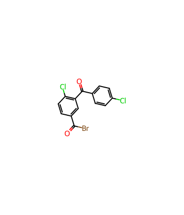 O=C(Br)c1ccc(Cl)c(C(=O)c2ccc(Cl)cc2)c1